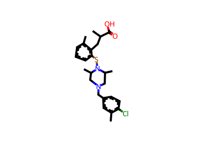 Cc1cc(CN2CC(C)N(Sc3cccc(C)c3CC(C)C(=O)O)C(C)C2)ccc1Cl